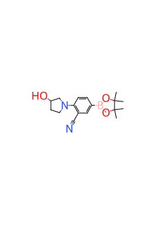 CC1(C)OB(c2ccc(N3CCC(O)C3)c(C#N)c2)OC1(C)C